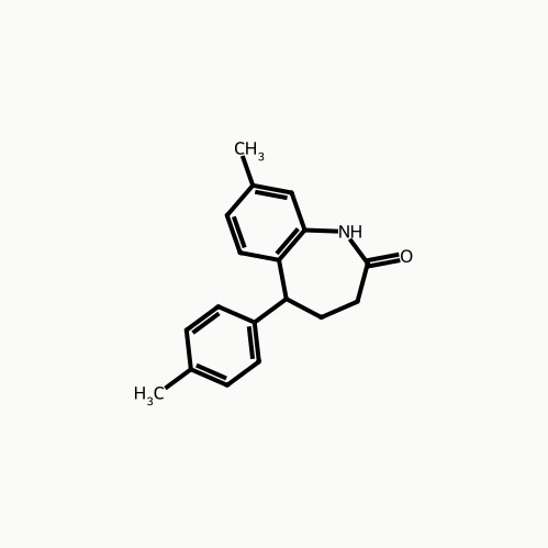 Cc1ccc(C2CCC(=O)Nc3cc(C)ccc32)cc1